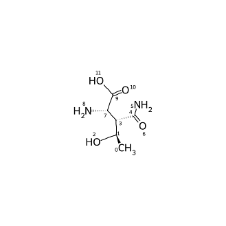 C[C@@H](O)[C@@H](C(N)=O)[C@H](N)C(=O)O